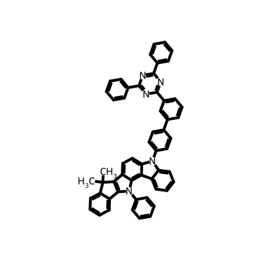 CC1(C)c2ccccc2-c2c1c1ccc3c(c4ccccc4n3-c3ccc(-c4cccc(-c5nc(-c6ccccc6)nc(-c6ccccc6)n5)c4)cc3)c1n2-c1ccccc1